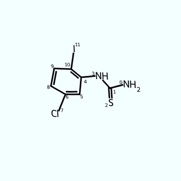 NC(=S)Nc1cc(Cl)ccc1I